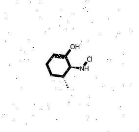 C[C@@H]1CCC=C(O)[C@H]1NCl